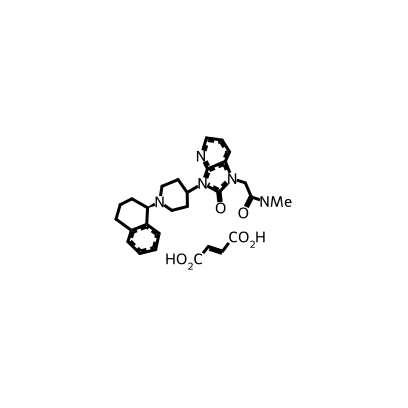 CNC(=O)Cn1c(=O)n(C2CCN([C@@H]3CCCc4ccccc43)CC2)c2ncccc21.O=C(O)C=CC(=O)O